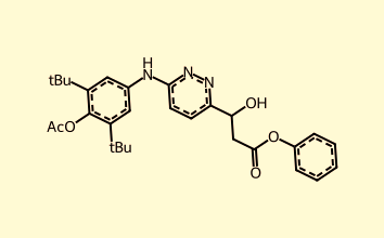 CC(=O)Oc1c(C(C)(C)C)cc(Nc2ccc(C(O)CC(=O)Oc3ccccc3)nn2)cc1C(C)(C)C